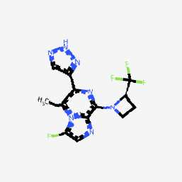 Cc1c(-c2cn[nH]n2)nc(N2CC[C@@H]2C(F)(F)F)c2ncc(F)n12